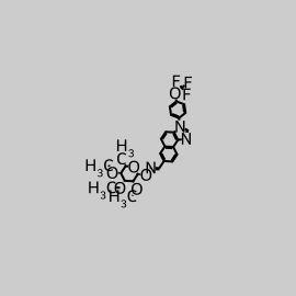 CO[C@@H]1[C@@H](OC)[C@H](C)O[C@@H](ON=Cc2ccc3c(ccc4c3ncn4-c3ccc(OC(F)(F)F)cc3)c2)[C@@H]1OC